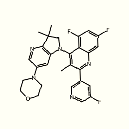 Cc1c(-c2cncc(F)c2)nc2cc(F)cc(F)c2c1N1CC(C)(C)c2ncc(N3CCOCC3)cc21